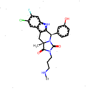 CCNCCCN1C(=O)N2[C@H](c3cccc(O)c3)c3[nH]c4cc(F)c(Cl)cc4c3C[C@@]2(C)C1=O